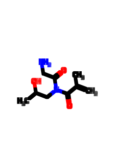 C=C(C)C(=O)N(CC(C)O)C(=O)CN